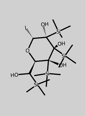 C[Si](C)(C)C(O)[C@H]1O[C@H](I)[C@@](O)([Si](C)(C)C)[C@](O)([Si](C)(C)C)[C@]1(O)[Si](C)(C)C